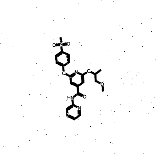 COCC(C)Oc1cc(C(=O)Nc2ccccn2)cc(Oc2ccc(S(C)(=O)=O)cc2)n1